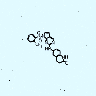 O=C1CCc2cc(Nc3ncc4ccn(S(=O)(=O)c5ccccc5C(F)(F)F)c4n3)ccc2N1